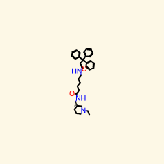 CCN1CCC[C@@H](CNC(=O)CCCCCNC(=O)CC(c2ccccc2)(c2ccccc2)c2ccccc2)C1